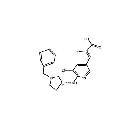 O=C(O)/C(F)=C/c1cnc(N[C@@H]2CCN(Cc3ccccc3)C2)c(Cl)c1